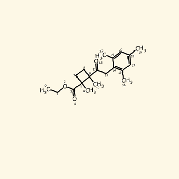 CCOC(=O)C1(C)CCC1(C)C(=O)Cc1c(C)cc(C)cc1C